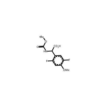 COc1cc(F)c(C(NC(=O)OC(C)(C)C)C(=O)O)cc1F